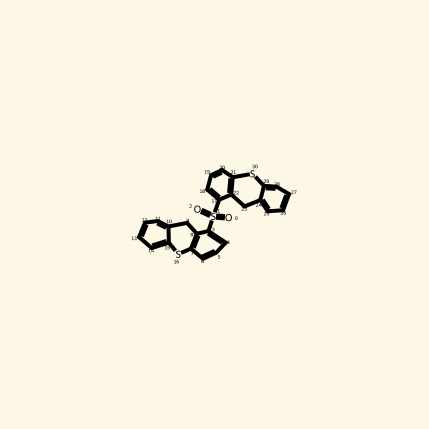 O=S(=O)(c1cccc2c1Cc1ccccc1S2)c1cccc2c1Cc1ccccc1S2